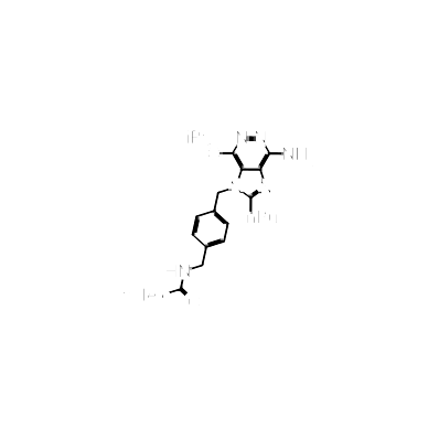 CCCCCCC(=O)NCc1ccc(Cn2c(CCCC)nc3c(N)nnc(OC(C)C)c32)cc1